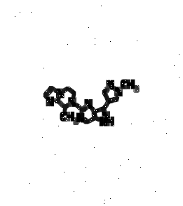 CC1c2nccn2CCN1c1ncc2[nH]nc(-c3cnn(C)c3)c2n1